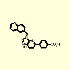 O=C(O)c1ccc(-c2ccc3nnn(Cc4ccc5ncccc5c4)c3n2)cc1.[LiH]